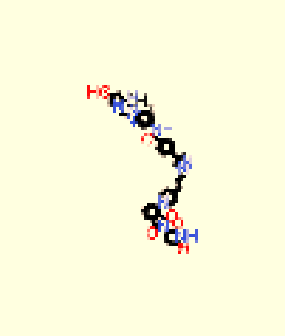 C[C@H]1C[C@H](O)CN1Cc1nc2cc(NC(=O)c3ccc(-c4cnn(CCCC5CCN(c6cccc7c6C(=O)N(C6CCC(=O)NC6=O)C7=O)CC5)c4)cc3)ccc2[nH]1